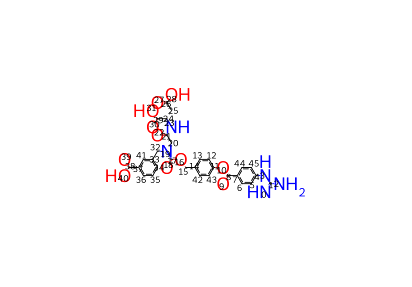 N=C(N)Nc1ccc(C(=O)Oc2ccc(COC(=O)N(CC(=O)N[C@@H](CC(=O)O)C(=O)O)Cc3cccc(C(=O)O)c3)cc2)cc1